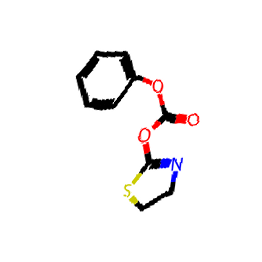 O=C(OC1=NCCS1)Oc1ccccc1